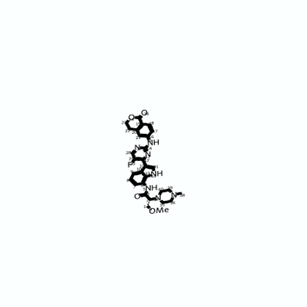 COC[C@H](C(=O)Nc1cccc2c(-c3nc(Nc4ccc5c(c4)CCOC5=O)ncc3F)c[nH]c12)N1CCN(C)CC1